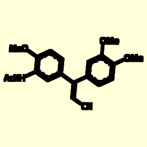 COc1ccc(C(=CC#N)c2ccc(OC)c(OC)c2)cc1NC(C)=O